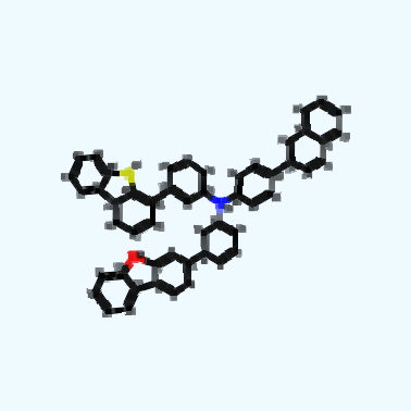 c1cc(-c2ccc3c(c2)oc2ccccc23)cc(N(c2ccc(-c3ccc4ccccc4c3)cc2)c2cccc(-c3cccc4c3sc3ccccc34)c2)c1